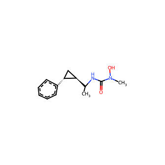 CC(NC(=O)N(C)O)[C@@H]1C[C@H]1c1ccccc1